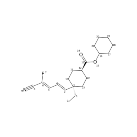 CC[C@]1(C=CC=C(F)C#N)CC[C@@H](C(=O)OC2CCCCC2)CC1